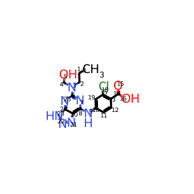 CCCN(CO)c1nc(Nc2ccc(C(=O)O)c(Cl)c2)c2nn[nH]c2n1